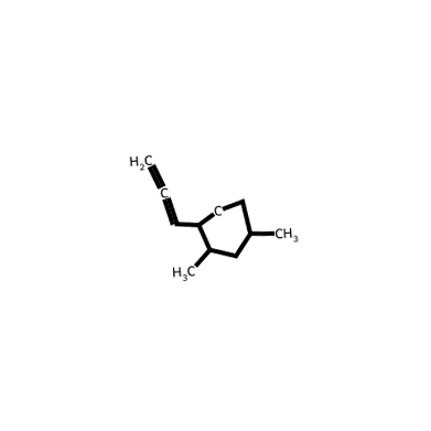 C=C=CC1CCC(C)CC1C